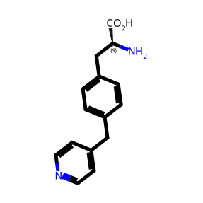 N[C@@H](Cc1ccc(Cc2ccncc2)cc1)C(=O)O